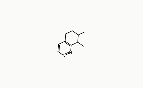 CC1CCc2ccnnc2C1C